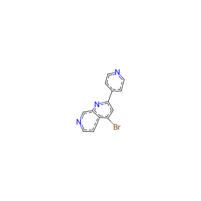 Brc1cc(-c2ccncc2)nc2cnccc12